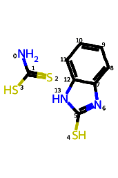 NC(=S)S.Sc1nc2ccccc2[nH]1